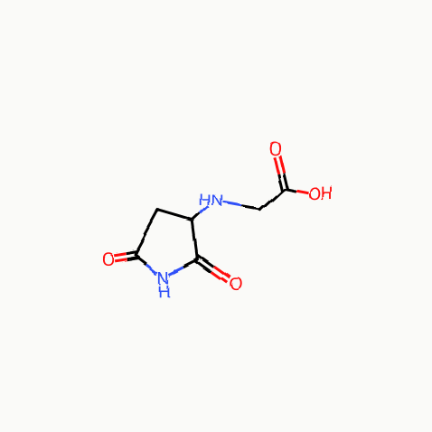 O=C(O)CNC1CC(=O)NC1=O